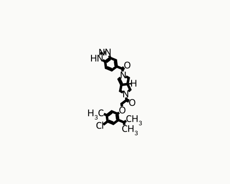 Cc1cc(OCC(=O)N2CC3=CN(C(=O)c4ccc5[nH]nnc5c4)C[C@@H]3C2)c(C(C)C)cc1Cl